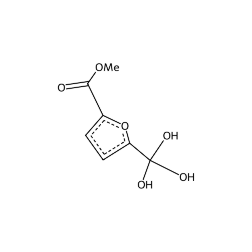 COC(=O)c1ccc(C(O)(O)O)o1